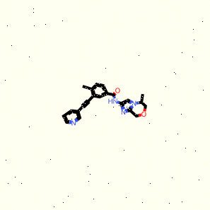 Cc1ccc(C(=O)Nc2cn3c(n2)COCC3C)cc1C#Cc1cccnc1